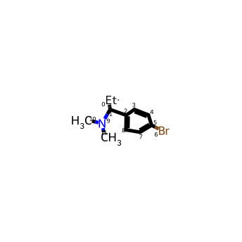 C[CH]C(c1ccc(Br)cc1)N(C)C